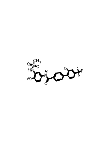 CS(=O)(=O)Nc1cc(NC(=O)c2ccc(-c3ccc(C(F)(F)F)cc3Cl)cc2)ccc1O